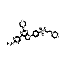 CN(CCN1CCOCC1)S(=O)(=O)c1ccc(N2CCc3c(-c4cnc(N)nc4)nc(N4CCOCC4)nc32)cc1